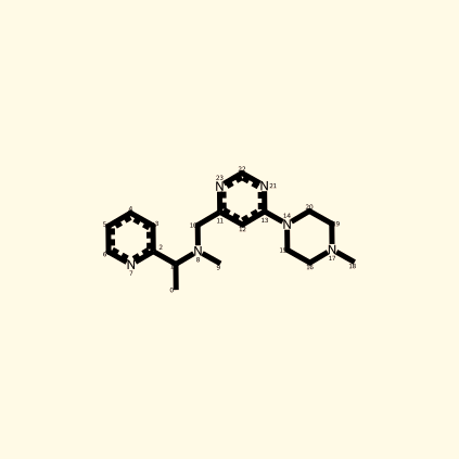 CC(c1ccccn1)N(C)Cc1cc(N2CCN(C)CC2)ncn1